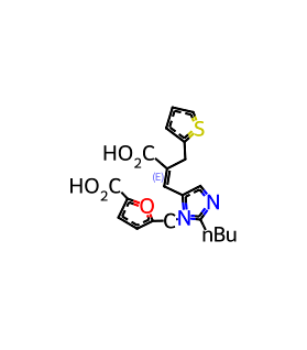 CCCCc1ncc(/C=C(\Cc2cccs2)C(=O)O)n1Cc1ccc(C(=O)O)o1